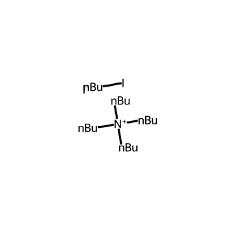 CCCCI.CCCC[N+](CCCC)(CCCC)CCCC.[I-]